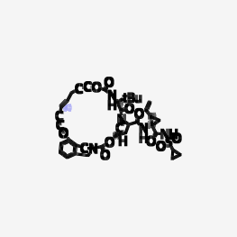 C=C[C@H]1C[C@@]1(NC(=O)C1C[C@@H]2CN1C(=O)[C@H](C(C)(C)C)NC(=O)OCCC/C=C/CCOc1cccc3c1CN(C3)C(=O)O2)C(=O)NS(=O)(=O)C1CC1